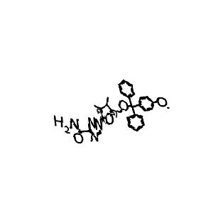 COc1ccc(C(OC[C@H]2O[C@@H](n3cnc(C(N)=O)n3)[C@@H](C)C2C)(c2ccccc2)c2ccccc2)cc1